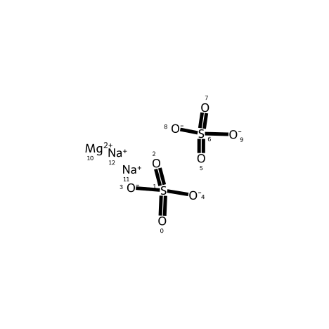 O=S(=O)([O-])[O-].O=S(=O)([O-])[O-].[Mg+2].[Na+].[Na+]